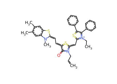 C=CCn1c(=Cc2sc(-c3ccccc3)c(-c3ccccc3)[n+]2CC)sc(=CC=C2Sc3cc(C)c(C)cc3N2C)c1=O